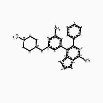 Cc1cc(-c2c(-c3ccccc3)nc(N)n3cnnc23)cc(CN2CCN(C)CC2)n1